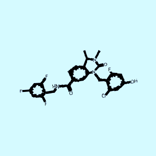 CC1c2ccc(C(=O)NCc3c(F)cc(F)cc3F)cc2N(Cc2c(F)cc(O)cc2Cl)C(=O)N1C